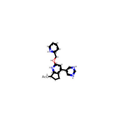 CC(=O)OC1CCc2c(-c3cncnc3)cc(OCc3ccccn3)nc21